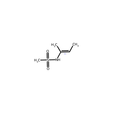 C/C=C(\C)NS(C)(=O)=O